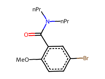 CCCN(CCC)C(=O)c1cc(Br)ccc1OC